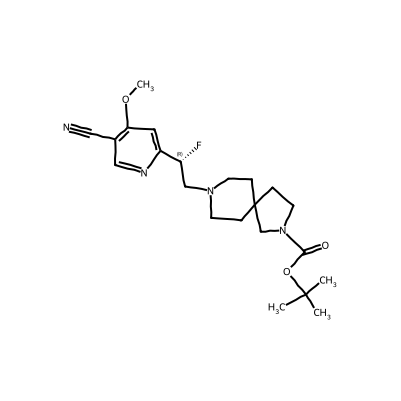 COc1cc([C@H](F)CN2CCC3(CC2)CCN(C(=O)OC(C)(C)C)C3)ncc1C#N